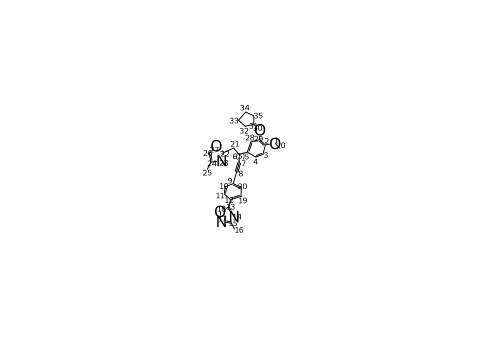 COc1ccc([C@@H](C#Cc2ccc(-c3nc(C)no3)cc2)Cc2nc(C)co2)cc1OC1CCCC1